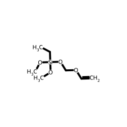 C=COCO[Si](CC)(OC)OC